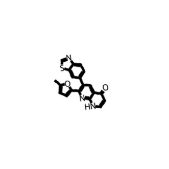 Cc1ccc(-c2nc3[nH]ccc(=O)c3cc2-c2ccc3ncsc3c2)o1